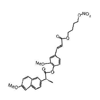 COc1ccc2cc([C@H](C)C(=O)Oc3ccc(/C=C/C(=O)OCCCCO[N+](=O)[O-])cc3OC)ccc2c1